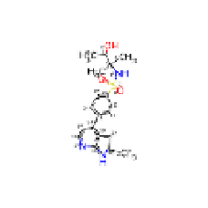 CC(O)C(C)(C)NS(=O)(=O)c1ccc(-c2ccnc3[nH]c(C(F)(F)F)cc23)cc1